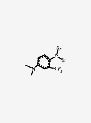 CN(C)c1ccc(P(Br)Br)c(C(F)(F)F)c1